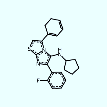 Fc1ccccc1-c1nc2scc(C3=CC=CCC3)n2c1NC1CCCC1